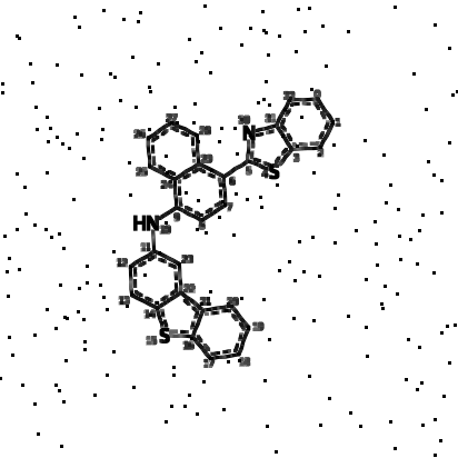 c1ccc2sc(-c3ccc(Nc4ccc5sc6ccccc6c5c4)c4ccccc34)nc2c1